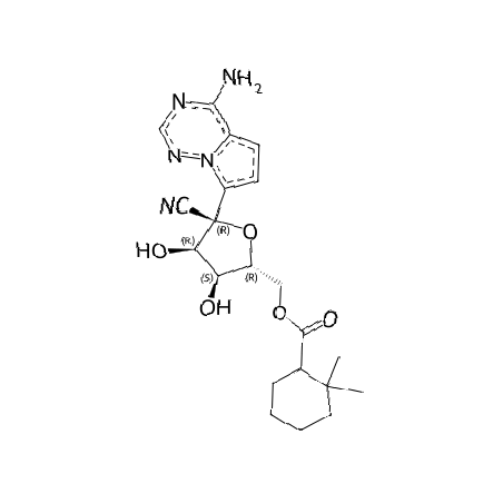 CC1(C)CCCCC1C(=O)OC[C@H]1O[C@@](C#N)(c2ccc3c(N)ncnn23)[C@H](O)[C@@H]1O